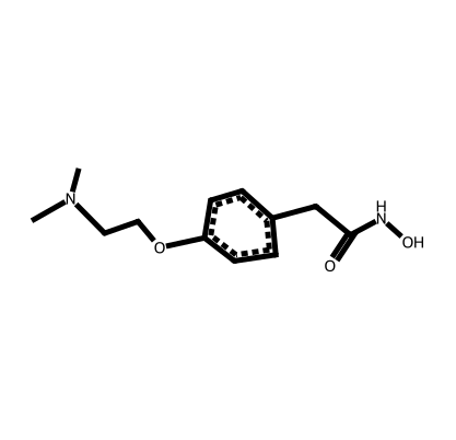 CN(C)CCOc1ccc(CC(=O)NO)cc1